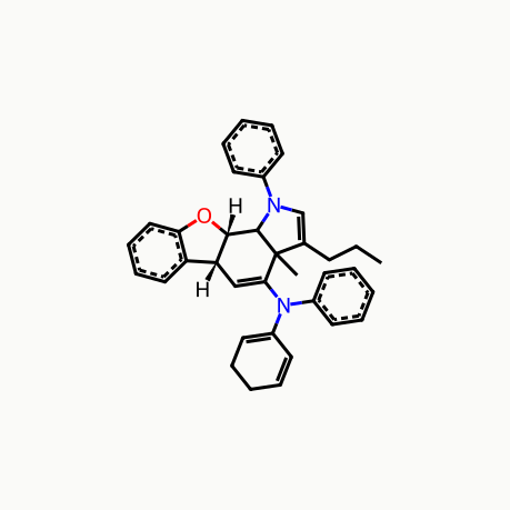 CCCC1=CN(c2ccccc2)C2[C@H]3Oc4ccccc4[C@H]3C=C(N(C3=CCCC=C3)c3ccccc3)C12C